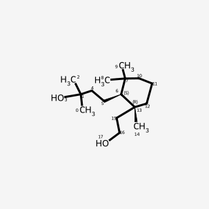 CC(C)(O)CC[C@H]1C(C)(C)CCC[C@]1(C)CCO